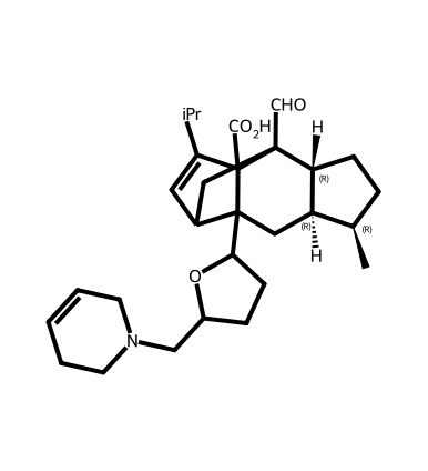 CC(C)C1=CC2CC3(C=O)[C@@H]4CC[C@@H](C)[C@H]4CC2(C2CCC(CN4CC=CCC4)O2)C13C(=O)O